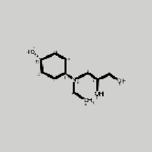 CCN(CC(O)CO)[C@H]1CC[C@H](O)CC1